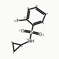 O=S(=O)(NC1CC1)c1ccccc1F